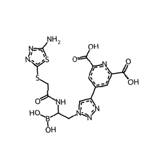 Nc1nnc(SCC(=O)NC(Cn2cc(-c3cc(C(=O)O)nc(C(=O)O)c3)nn2)B(O)O)s1